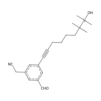 CC(C)(CCCCC#Cc1cc(C=O)cc(CC#N)c1)[Si](C)(C)O